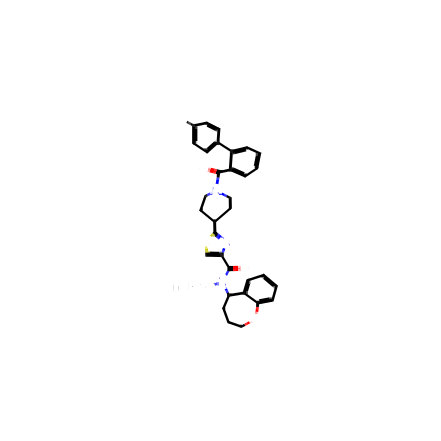 CCCCCCCN(C(=O)c1csc(C2CCN(C(=O)c3ccccc3-c3ccc(C(F)(F)F)cc3)CC2)n1)C1CCCOc2ccccc21